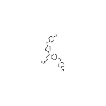 C=CC=C(c1ccc(Oc2ccc(Cl)cc2)cc1)c1ccc(Oc2ccc(Cl)cc2)cc1